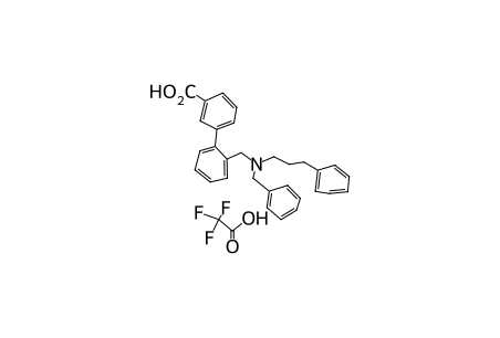 O=C(O)C(F)(F)F.O=C(O)c1cccc(-c2ccccc2CN(CCCc2ccccc2)Cc2ccccc2)c1